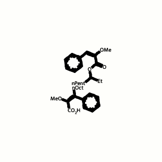 CCCCCC(CC)OC(=O)C(=Cc1ccccc1)OC.CCCCCCCCC(=C(OC)C(=O)O)c1ccccc1